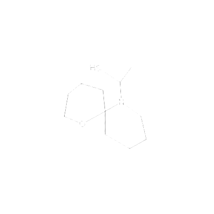 CC(S)N1CCCCC12CCCCO2